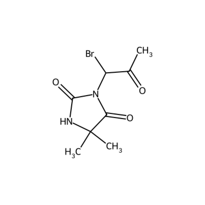 CC(=O)C(Br)N1C(=O)NC(C)(C)C1=O